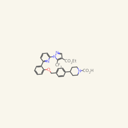 CCOC(=O)c1cnn(-c2cccc(-c3ccccc3OCc3ccc(C4CCN(C(=O)O)CC4)cc3)n2)c1C(F)(F)F